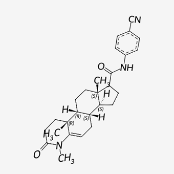 CN1C(=O)CC[C@@]2(C)C1=CC[C@@H]1[C@H]2CC[C@]2(C)C(C(=O)Nc3ccc(C#N)cc3)CC[C@@H]12